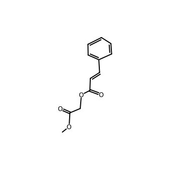 COC(=O)COC(=O)/C=C/c1ccccc1